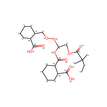 CCC(C)(C)C(=O)OCC(OOCC1CCCCC1C(=O)O)OC(=O)C1CCCCC1C(=O)O